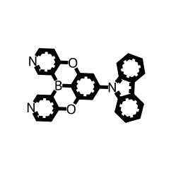 c1ccc2c(c1)c1ccccc1n2-c1cc2c3c(c1)Oc1ccncc1B3c1cnccc1O2